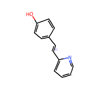 Oc1ccc(/C=C/c2cc[c]cn2)cc1